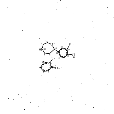 O=c1cccnn1C[C@@H]1CNCCO[C@H]1c1ccc(Cl)c(F)c1